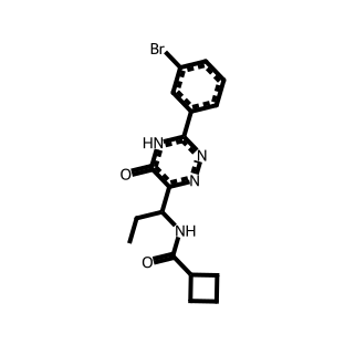 CCC(NC(=O)C1CCC1)c1nnc(-c2cccc(Br)c2)[nH]c1=O